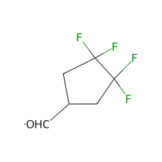 O=[C]C1CC(F)(F)C(F)(F)C1